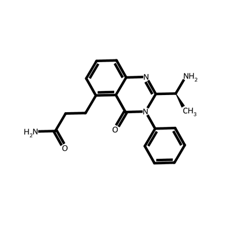 C[C@H](N)c1nc2cccc(CCC(N)=O)c2c(=O)n1-c1ccccc1